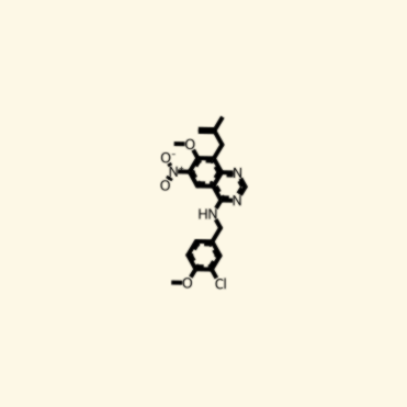 C=C(C)Cc1c(OC)c([N+](=O)[O-])cc2c(NCc3ccc(OC)c(Cl)c3)ncnc12